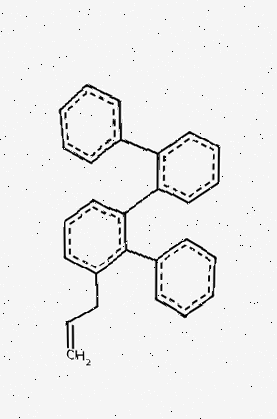 C=CCc1cccc(-c2ccccc2-c2ccccc2)c1-c1ccccc1